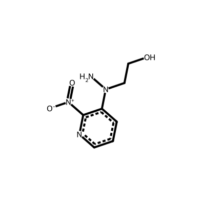 NN(CCO)c1cccnc1[N+](=O)[O-]